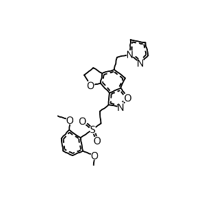 COc1cccc(OC)c1S(=O)(=O)CCc1noc2cc(Cn3cccn3)c3c(c12)OCC3